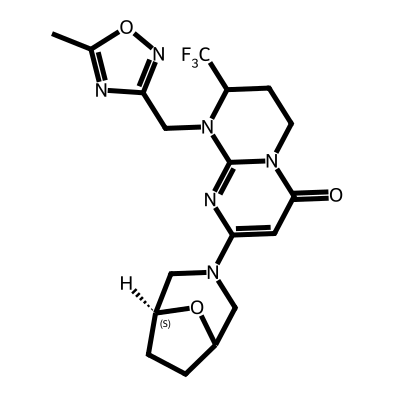 Cc1nc(CN2c3nc(N4CC5CC[C@@H](C4)O5)cc(=O)n3CCC2C(F)(F)F)no1